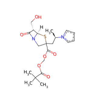 C[C@H](CC1(C(=O)OCOC(=O)C(C)(C)C)CN2C(=O)[C@H](CO)[C@H]2S1)n1cccc1